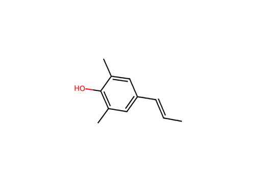 CC=Cc1cc(C)c(O)c(C)c1